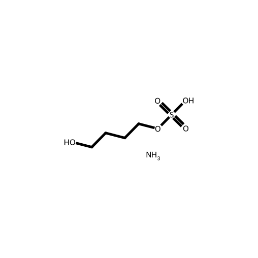 N.O=S(=O)(O)OCCCCO